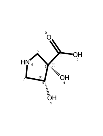 O=C(O)[C@]1(O)CNC[C@H]1O